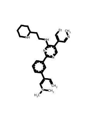 C=C/C(=C\N(C)C)c1cccc(-c2ncc(C(/C=N\C)=C/CC)c(NCCC3CCCCN3)n2)c1